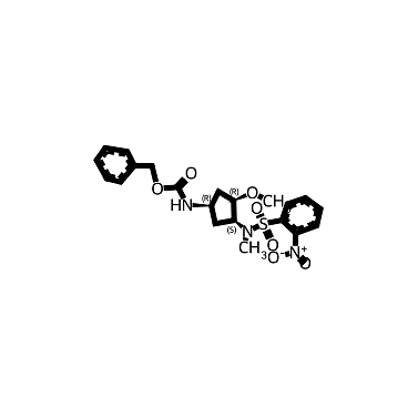 CO[C@@H]1C[C@H](NC(=O)OCc2ccccc2)C[C@@H]1N(C)S(=O)(=O)c1ccccc1[N+](=O)[O-]